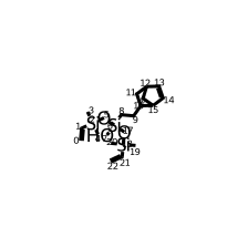 C=C[Si](C)(C)O[Si](O)(CCC1CC2C=CC1C2)O[Si](C)(C)C=C